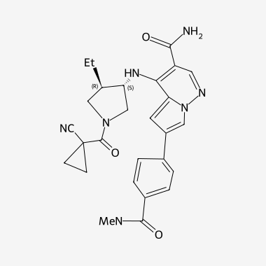 CC[C@@H]1CN(C(=O)C2(C#N)CC2)C[C@H]1Nc1c(C(N)=O)cnn2cc(-c3ccc(C(=O)NC)cc3)cc12